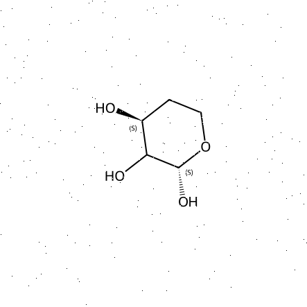 OC1[C@@H](O)CCO[C@@H]1O